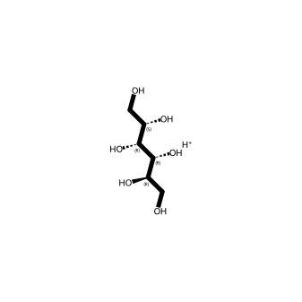 OC[C@@H](O)[C@@H](O)[C@H](O)[C@@H](O)CO.[H+]